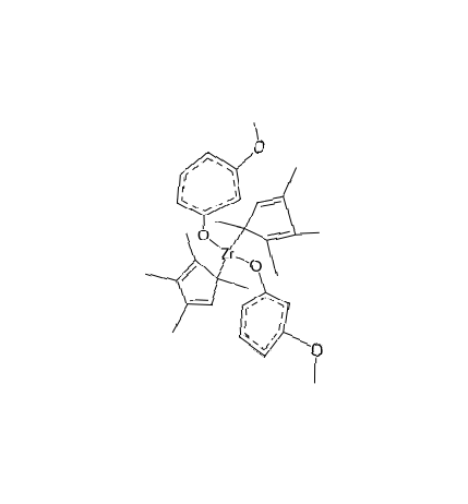 COc1cccc([O][Zr]([O]c2cccc(OC)c2)([C]2(C)C=C(C)C(C)=C2C)[C]2(C)C=C(C)C(C)=C2C)c1